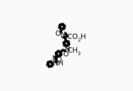 CN(C(=O)Cc1ccc2nc(Nc3ccccc3)oc2c1)c1ccc(C2CN(C(=O)c3ccccc3)CC2C(=O)O)cc1